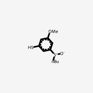 CCCC[S+]([O-])c1cc(S)cc(OC)c1